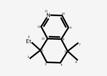 CCC1(C)CCC(C)(C)c2ccncc21